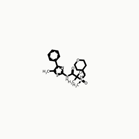 Cc1sc(NC(=O)C(C)(C)[SH](C)(=O)CC2CCOCC2)nc1-c1ccccc1